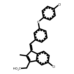 CC1=C(CC(=O)O)c2cc(Cl)ccc2/C1=C\c1cccc(Oc2ccc(Cl)cc2)c1